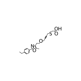 CCc1ccc(-c2nc(CCOCC#CCSCC(=O)O)c(C)o2)cc1